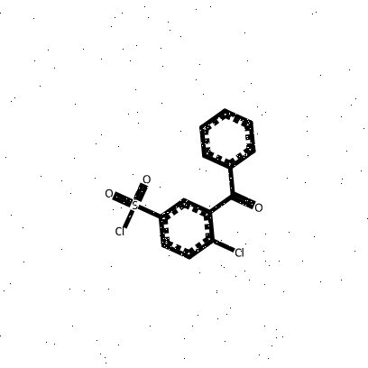 O=C(c1ccccc1)c1cc(S(=O)(=O)Cl)ccc1Cl